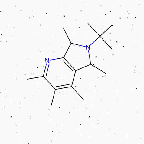 Cc1nc2c(c(C)c1C)C(C)N(C(C)(C)C)C2C